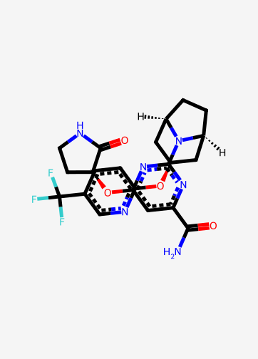 NC(=O)c1cc(O[C@H]2CCNC2=O)nc(N2[C@@H]3CC[C@H]2C[C@@H](Oc2ccc(C(F)(F)F)cn2)C3)n1